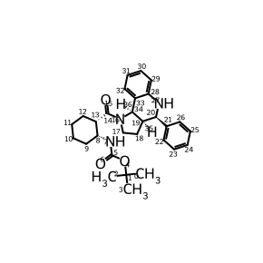 CC(C)(C)OC(=O)N[C@@H]1CCCC[C@@H]1C(=O)N1CC[C@@H]2[C@H](c3ccccc3)Nc3ccccc3[C@@H]21